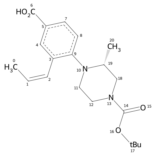 C/C=C\c1cc(C(=O)O)ccc1N1CCN(C(=O)OC(C)(C)C)C[C@H]1C